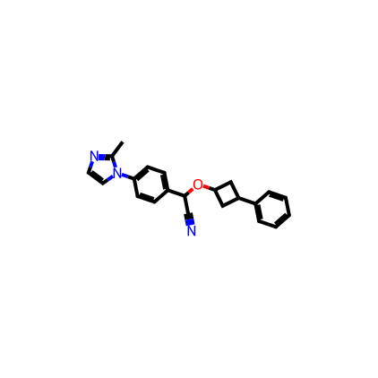 Cc1nccn1-c1ccc(C(C#N)OC2CC(c3ccccc3)C2)cc1